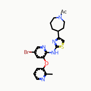 CC(=O)N1CCCC(c2csc(Nc3ncc(Br)cc3Oc3cccnc3C)n2)CC1